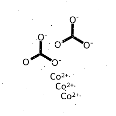 [Co+2].[Co+2].[Co+2].[O-]C([O-])[O-].[O-]C([O-])[O-]